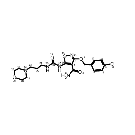 NC(=O)c1c(OCc2ccc(Cl)cc2)nsc1NC(=O)NCCCN1CCOCC1